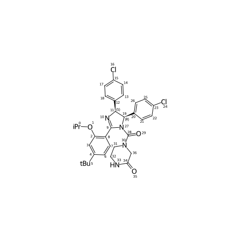 CC(C)Oc1cc(C(C)(C)C)ccc1C1=N[C@@H](c2ccc(Cl)cc2)[C@@H](c2ccc(Cl)cc2)N1C(=O)N1CCNC(=O)C1